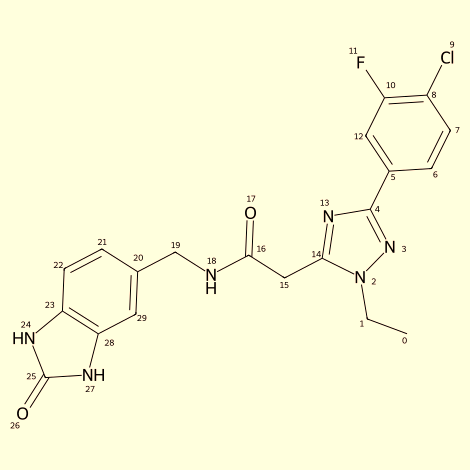 CCn1nc(-c2ccc(Cl)c(F)c2)nc1CC(=O)NCc1ccc2[nH]c(=O)[nH]c2c1